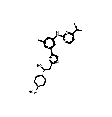 Cc1cc(Nc2nccc(C(F)F)n2)cc(-c2cnc(CC(O)[C@H]3CC[C@H](C(=O)O)CC3)s2)c1